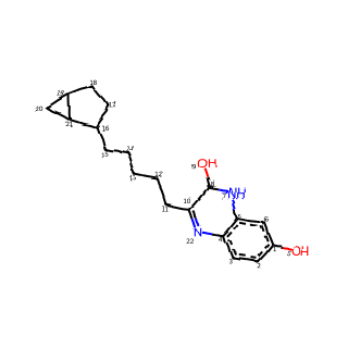 Oc1ccc2c(c1)NC(O)C(CCCCCC1CCC3CC13)=N2